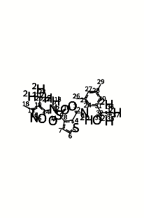 [2H]N(C(=O)c1sccc1S(=O)(=O)N([2H])c1onc(C)c1C([2H])([2H])[2H])c1c(C)cc(C)cc1C(=O)C([2H])([2H])[2H]